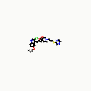 COc1ccc2ncc(Cl)c([C@@H](F)CCC3(C(=O)O)CCN(CCCSc4cnccn4)CC3)c2c1